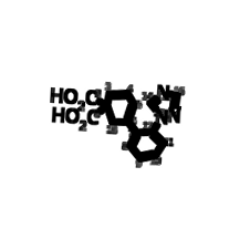 O=C(O)C1(C(=O)O)C=CC=C(c2ccccc2-n2cncn2)C1